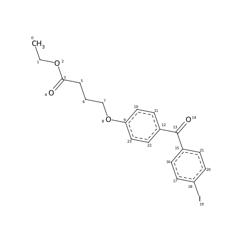 CCOC(=O)CCCOc1ccc(C(=O)c2ccc(I)cc2)cc1